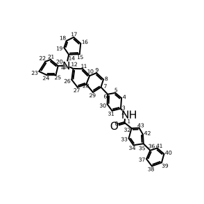 O=C(Nc1ccc(-c2ccc3cc(N(c4ccccc4)c4ccccc4)ccc3c2)cc1)c1ccc(-c2ccccc2)cc1